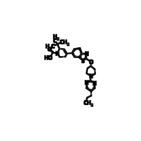 CCCc1cnc(N2CCC(Oc3nc4ccc(C5=CC(C(C)(C)C)N(C(=O)O)CC5)cc4s3)CC2)nc1